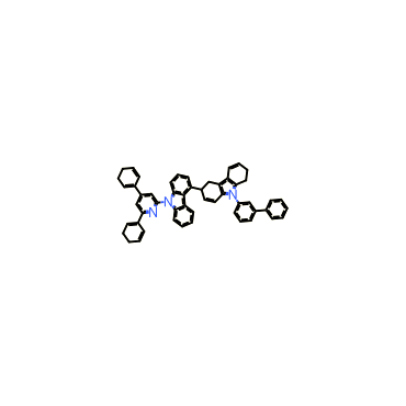 C1=CC(c2cc(C3=CCCC=C3)nc(-n3c4ccccc4c4c(C5C=Cc6c(c7c(n6-c6cccc(-c8ccccc8)c6)CCC=C7)C5)cccc43)c2)=CCC1